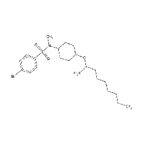 CCCCCCCC(N)OC1CCC(N(C)S(=O)(=O)c2ccc(Br)cc2)CC1